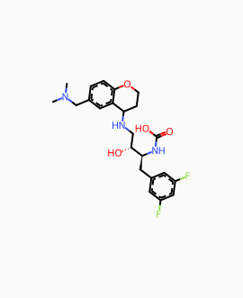 CN(C)Cc1ccc2c(c1)C(NC[C@@H](O)[C@H](Cc1cc(F)cc(F)c1)NC(=O)O)CCO2